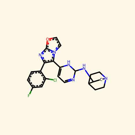 Fc1ccc(-c2nc3occn3c2C2=CC=NC(NC3CN4CCC3CC4)N2)c(Cl)c1